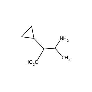 CC(N)C(C(=O)O)C1CC1